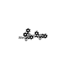 COC(=O)C(Cc1ccc(OCCCN(Cc2ccccc2)C(=O)c2cc3ccccc3cn2)cc1)Nc1ccccc1C(=O)c1ccccc1